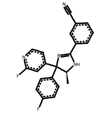 C[C@@H]1NC(c2cccc(C#N)c2)=NC1(c1ccc(F)cc1)c1ccnc(F)c1